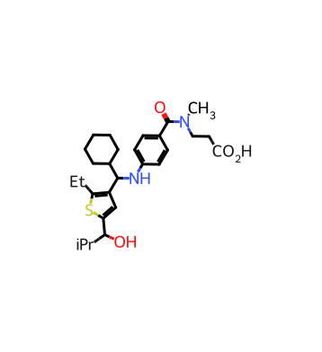 CCc1sc(C(O)C(C)C)cc1C(Nc1ccc(C(=O)N(C)CCC(=O)O)cc1)C1CCCCC1